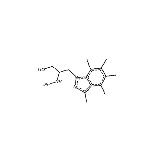 Cc1c(C)c(C)c2c(c(C)nn2CC(CO)NC(C)C)c1C